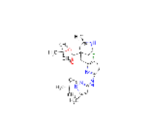 Cc1cc(Nc2ccc(F)c(CC3(C(=O)OC(C)(C)C)CCN[C@H](C)C3)n2)nn1C(C)(C)C